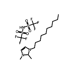 CCCCCCCCCCN1C=CN(C)C1C.O=S(=O)(NS(=O)(=O)C(F)(F)F)C(F)(F)F